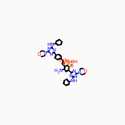 NC1=C(C=Cc2ccc(-c3nc(Nc4ccccc4)nc(N4CCOCC4)n3)cc2)C(S(=O)(=O)O)(S(=O)(=O)O)CC(c2nc(Nc3ccccc3)nc(N3CCOCC3)n2)=C1